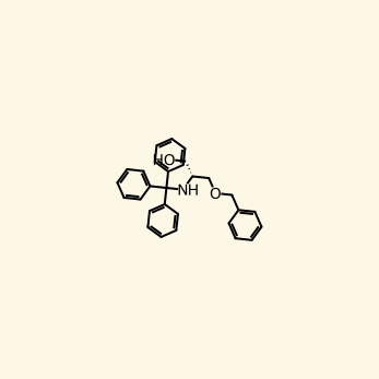 OC[C@H](COCc1ccccc1)NC(c1ccccc1)(c1ccccc1)c1ccccc1